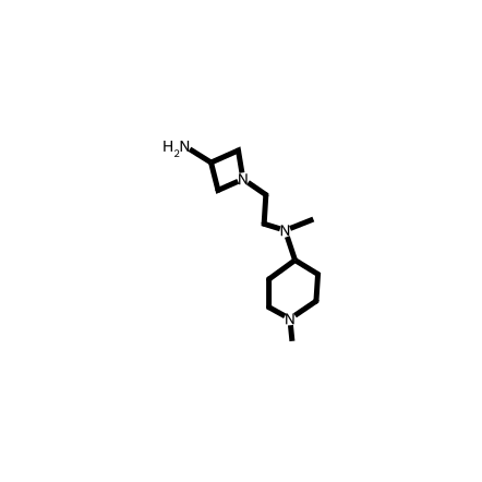 CN1CCC(N(C)CCN2CC(N)C2)CC1